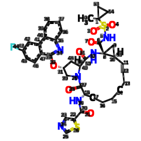 CC1(S(=O)(=O)NC(=O)[C@@]23C[C@H]2/C=C\CCCCC[C@H](NC(=O)c2cncs2)C(=O)N2C[C@H](Oc4nc5ccccc5c5cc(F)ccc45)C[C@H]2C(=O)N3)CC1